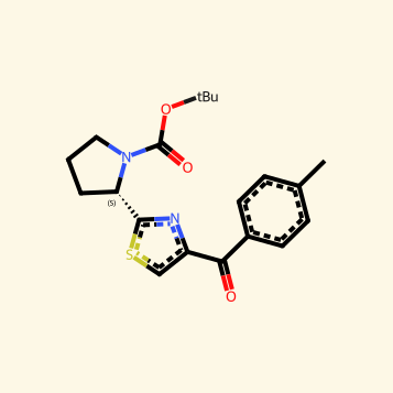 Cc1ccc(C(=O)c2csc([C@@H]3CCCN3C(=O)OC(C)(C)C)n2)cc1